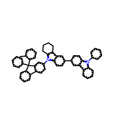 Cc1ccccc1C1(c2ccccc2)c2ccccc2-c2ccc(-n3c4c(c5cc(-c6ccc7c(c6)c6ccccc6n7-c6ccccc6)ccc53)CCCC4)cc21